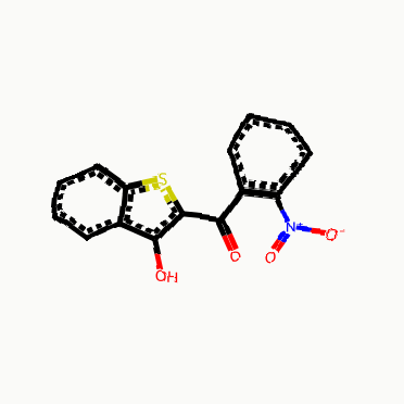 O=C(c1ccccc1[N+](=O)[O-])c1sc2ccccc2c1O